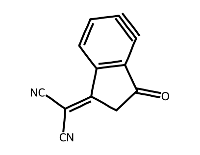 N#CC(C#N)=C1CC(=O)c2c#cccc21